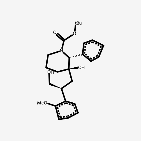 COc1ccccc1[C@@H](CO)C[C@]1(O)CCCN(C(=O)OC(C)(C)C)[C@@H]1c1ccccc1